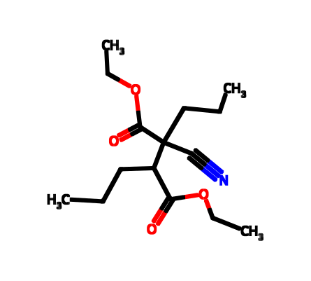 CCCC(C(=O)OCC)C(C#N)(CCC)C(=O)OCC